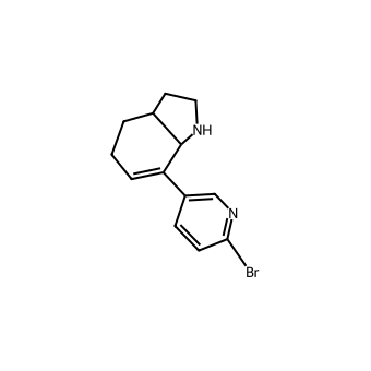 Brc1ccc(C2=CCCC3CCNC23)cn1